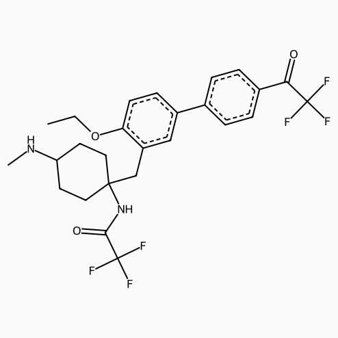 CCOc1ccc(-c2ccc(C(=O)C(F)(F)F)cc2)cc1CC1(NC(=O)C(F)(F)F)CCC(NC)CC1